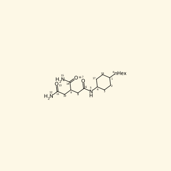 CCCCCCC1CCC(NC(=O)CC(CC(N)=O)C(N)=O)CC1